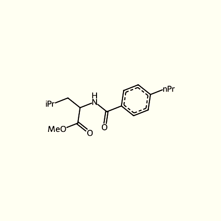 CCCc1ccc(C(=O)NC(CC(C)C)C(=O)OC)cc1